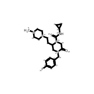 CN1CCN(CCC2CN(Cc3ccc(F)cc3)C(=O)CN2C(=S)NC2CC2)CC1